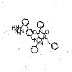 O=c1c2c(nc(C3CCCCC3)n2Cc2ccc(-c3ccccc3-c3nnn[nH]3)cc2)n(CCc2ccccc2)c(=O)n1-c1ccccc1